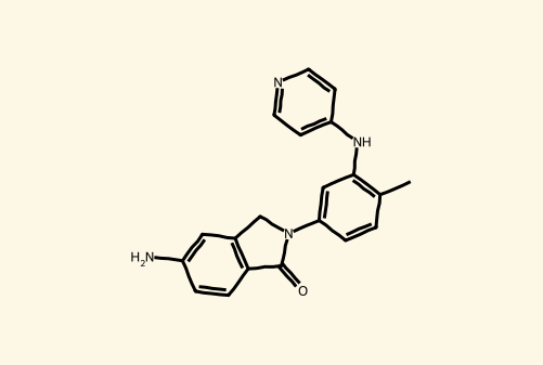 Cc1ccc(N2Cc3cc(N)ccc3C2=O)cc1Nc1ccncc1